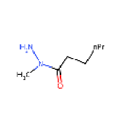 CCCCCC(=O)N(C)N